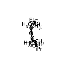 CCC(=O)N(C)CC(C)(C)COCCOCCOCC(C)CC(C)(C)NC(=O)CC(C)C